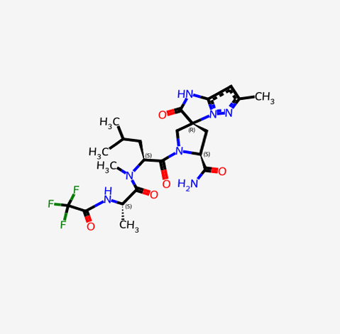 Cc1cc2n(n1)[C@@]1(C[C@@H](C(N)=O)N(C(=O)[C@H](CC(C)C)N(C)C(=O)[C@H](C)NC(=O)C(F)(F)F)C1)C(=O)N2